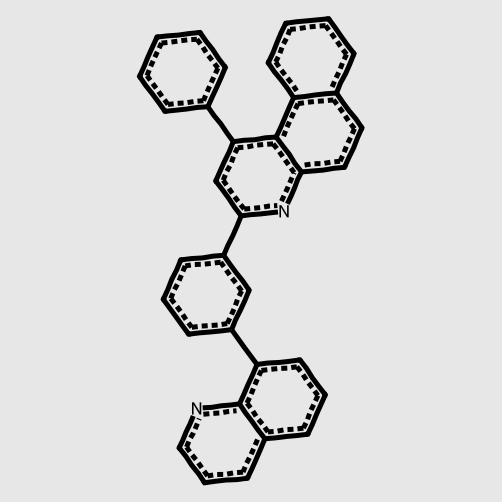 c1ccc(-c2cc(-c3cccc(-c4cccc5cccnc45)c3)nc3ccc4ccccc4c23)cc1